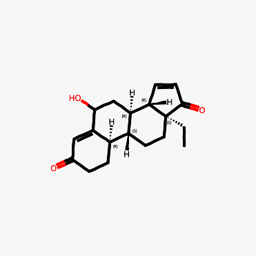 CC[C@]12CC[C@H]3[C@@H](CC(O)C4=CC(=O)CC[C@@H]43)[C@@H]1C=CC2=O